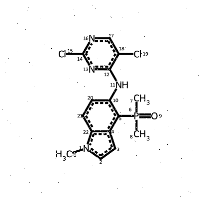 Cn1ccc2c(P(C)(C)=O)c(Nc3nc(Cl)ncc3Cl)ccc21